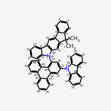 CC1(C)c2ccccc2-c2cc3c4ccccc4n(-c4cc(-n5c6ccccc6c6ccccc65)cc5c6ccccc6c6ccccc6c45)c3cc21